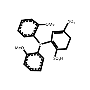 COc1ccccc1P(C1=C(S(=O)(=O)O)CCC([N+](=O)[O-])=C1)c1ccccc1OC